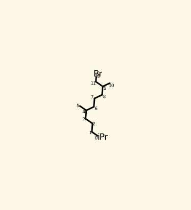 CC(C)CCCC(C)CCCC(C)CBr